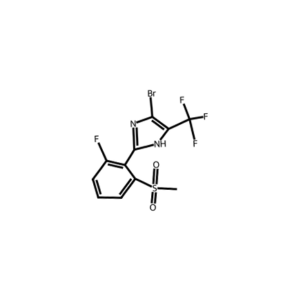 CS(=O)(=O)c1cccc(F)c1-c1nc(Br)c(C(F)(F)F)[nH]1